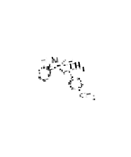 C/C(=N\C(C)(N)c1ccccc1)c1ccc(C)cc1